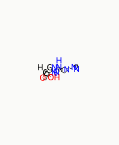 Cc1nc(N[C@@H]2CCCN(CCn3cccn3)C2)nnc1-c1ccc2c(c1O)CCO2